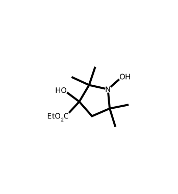 CCOC(=O)C1(O)CC(C)(C)N(O)C1(C)C